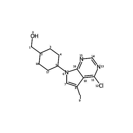 OCC1CCC(n2cc(I)c3c(Cl)ncnc32)CC1